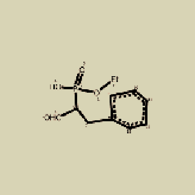 CCOP(=O)(O)C([C]=O)Cc1ccccc1